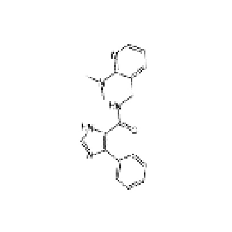 CN(C)c1ncccc1CNC(=O)c1[nH]cnc1-c1ccccc1